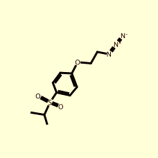 CC(C)S(=O)(=O)c1ccc(OCCN=[N+]=[N-])cc1